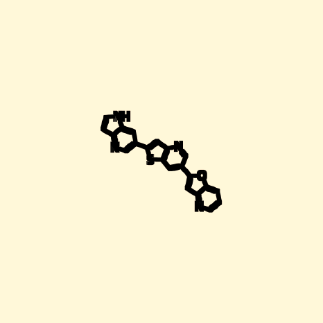 c1cnc2cc(-c3cnc4cc(-c5cnc6cc[nH]c6c5)sc4c3)oc2c1